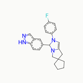 Fc1ccc(N2C=C3CC4(CCCC4)CN3C2c2ccc3[nH]ncc3c2)cc1